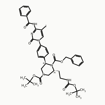 CC(C)(C)OC(=O)NCC[C@@H]1CN(C(=O)OC(C)(C)C)C[C@@H](c2ccc(-n3cc(I)c(NC(=O)c4ccccc4)nc3=O)cc2)N1C(=O)OCc1ccccc1